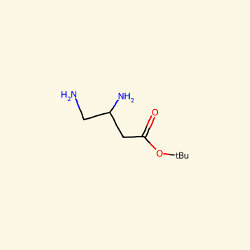 CC(C)(C)OC(=O)CC(N)CN